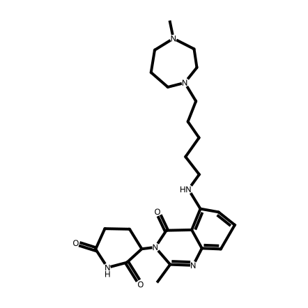 Cc1nc2cccc(NCCCCCN3CCCN(C)CC3)c2c(=O)n1C1CCC(=O)NC1=O